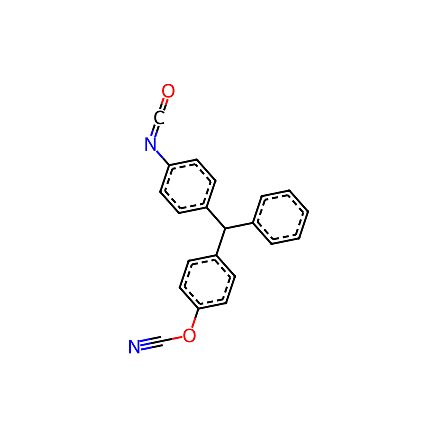 N#COc1ccc(C(c2ccccc2)c2ccc(N=C=O)cc2)cc1